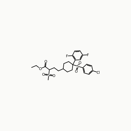 CCOC(=O)C(CCC1CCC(c2cc(F)ccc2F)(S(=O)(=O)c2ccc(Cl)cc2)CC1)S(C)(=O)=O